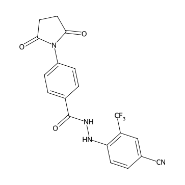 N#Cc1ccc(NNC(=O)c2ccc(N3C(=O)CCC3=O)cc2)c(C(F)(F)F)c1